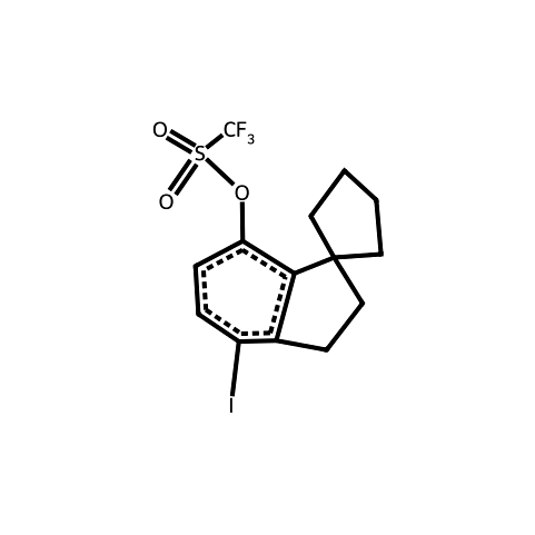 O=S(=O)(Oc1ccc(I)c2c1C1(CCCC1)CC2)C(F)(F)F